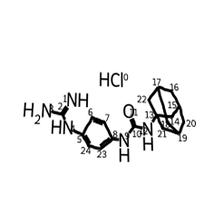 Cl.N=C(N)Nc1ccc(NC(=O)NC23CC4CC(CC(C4)C2)C3)cc1